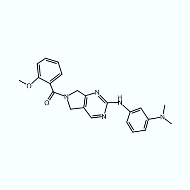 COc1ccccc1C(=O)N1Cc2cnc(Nc3cccc(N(C)C)c3)nc2C1